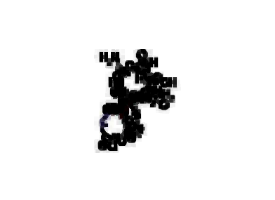 COc1cc2cc(c1Cl)N(C)C(=O)C[C@H](OC(=O)[C@H](C)N(C)C(=O)CCSSC[C@H](NC(=O)[C@@H]1CSSC[C@H](NC(=O)[C@H](N)Cc3ccccc3)C(=O)N[C@@H](Cc3ccc(O)cc3)C(=O)N[C@H](Cc3c[nH]c4ccccc34)C(=O)N[C@@H](CCCCN)C(=O)N[C@@H]([C@@H](C)O)C(=O)N1)C(N)=O)[C@@]1(C)C[C@@H](O1)[C@@H]1C[C@@](O)(NC(=O)O1)[C@H](OC)/C=C/C=C(\C)C2